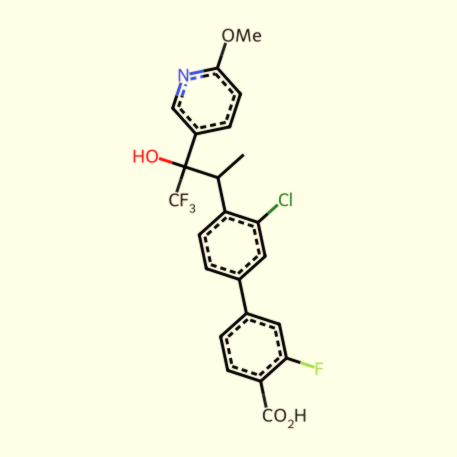 COc1ccc(C(O)(C(C)c2ccc(-c3ccc(C(=O)O)c(F)c3)cc2Cl)C(F)(F)F)cn1